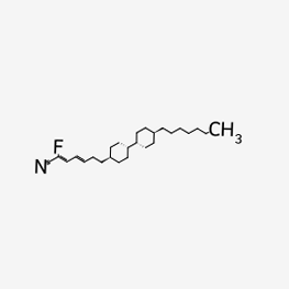 CCCCCCC[C@H]1CC[C@H]([C@H]2CC[C@H](CCC=CC=C(F)C#N)CC2)CC1